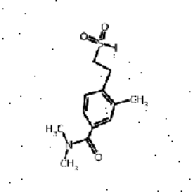 Cc1cc(C(=O)N(C)C)ccc1CCS(=O)(=O)I